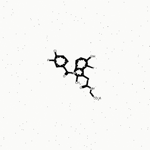 Cc1c(CC(=O)NCC(=O)O)c2c(F)c(O)ccc2n1C(=O)c1ccc(Cl)c(F)c1